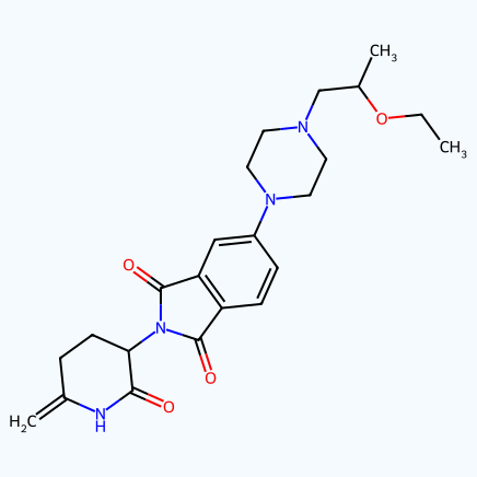 C=C1CCC(N2C(=O)c3ccc(N4CCN(CC(C)OCC)CC4)cc3C2=O)C(=O)N1